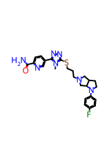 Cn1c(SCCCN2CC3CCN(c4ccc(F)cc4)C3C2)nnc1-c1ccc(C(N)=O)nc1